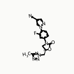 Cc1nnn(C[C@H]2CN(c3ccc(-n4cc(C#N)cn4)c(F)c3)C(=O)O2)n1